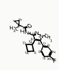 Cn1nc(NC(=O)C2(C)CC2)c(C2CCC2)c1-c1ccc(F)cc1